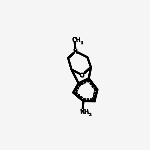 CN1CC2OC(C1)c1cc(N)ccc12